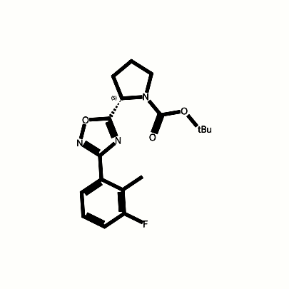 Cc1c(F)cccc1-c1noc([C@@H]2CCCN2C(=O)OC(C)(C)C)n1